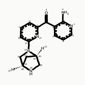 Nc1ncccc1C(=O)c1cccc(N2C[C@H]3C[C@@H]2CN3)n1